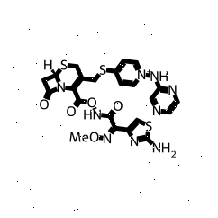 CO/N=C(\C(=O)NOC(=O)C1=C(CSc2cc[n+](Nc3cnccn3)cc2)CS[C@H]2CC(=O)N12)c1csc(N)n1